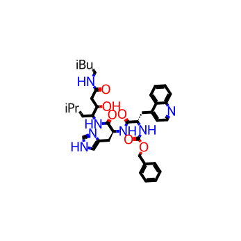 CCC(C)CNC(=O)CC(O)C(CC(C)C)NC(=O)[C@H](Cc1c[nH]cn1)NC(=O)[C@H](Cc1ccnc2ccccc12)NC(=O)OCc1ccccc1